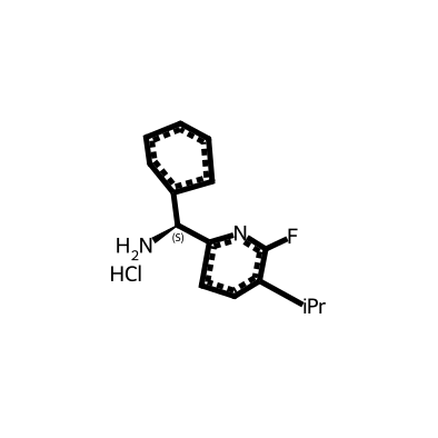 CC(C)c1ccc([C@@H](N)c2ccccc2)nc1F.Cl